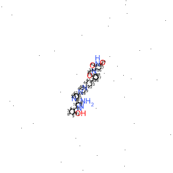 Nc1nnc(-c2ccccc2O)cc1-c1cc(N2CCN(C3CCC(c4cccc5c4OCCN5[C@@H]4CCC(=O)NC4=O)CC3)CC2)ccn1